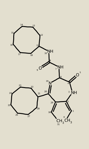 C/C=C1/NC(=O)C(NC(=O)NC2CCCCCCC2)N=C(C2CCCCCCC2)/C1=C/C